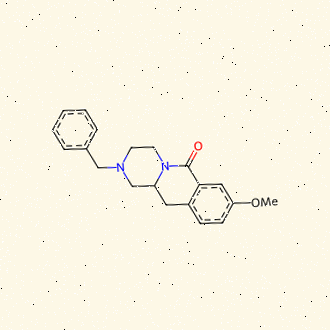 COc1ccc2c(c1)C(=O)N1CCN(Cc3ccccc3)CC1C2